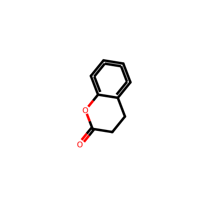 O=C1CCC2=C=C=C=C=C2O1